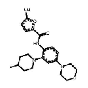 CC1CCN(c2cc(N3CCOCC3)ccc2NC(=O)c2ccc(C#N)o2)CC1